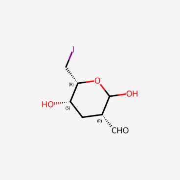 O=C[C@@H]1C[C@H](O)[C@H](CI)OC1O